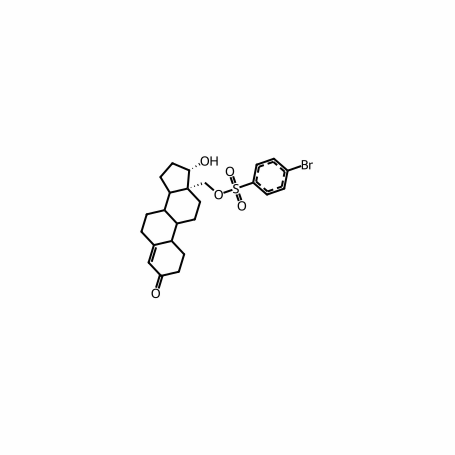 O=C1C=C2CCC3C(CC[C@@]4(COS(=O)(=O)c5ccc(Br)cc5)C3CC[C@@H]4O)C2CC1